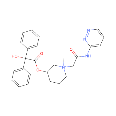 C[N+]1(CC(=O)Nc2cccnn2)CCCC(OC(=O)C(O)(c2ccccc2)c2ccccc2)C1